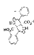 Cc1ccccc1C(=O)[C@](O)(C(=O)O)[C@@](O)(C(=O)O)C(=O)c1ccccc1C